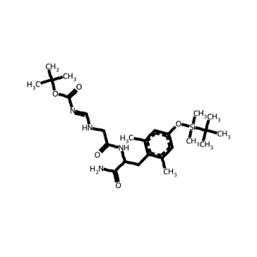 Cc1cc(O[Si](C)(C)C(C)(C)C)cc(C)c1CC(NC(=O)CNC=NC(=O)OC(C)(C)C)C(N)=O